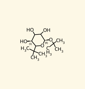 CC(C)(C)O[C@H]1OC(C(C)(C)C)[C@@H](O)C(O)C1O